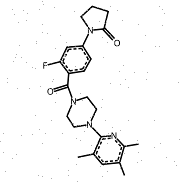 Cc1cc(C)c(N2CCN(C(=O)c3ccc(N4CCCC4=O)cc3F)CC2)nc1C